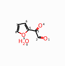 O.O=CC(=O)c1ccco1